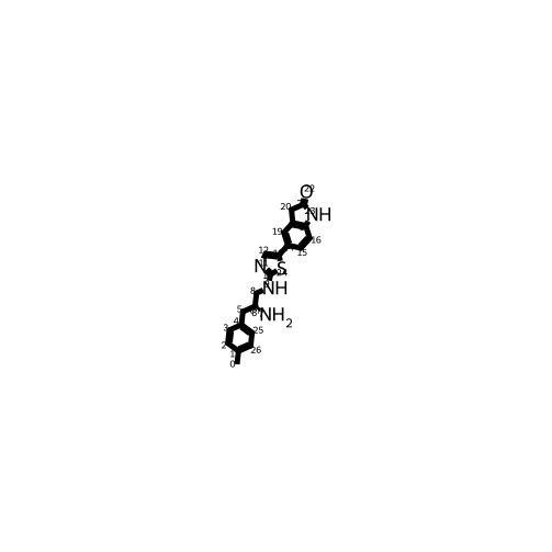 Cc1ccc(C[C@H](N)CNc2ncc(-c3ccc4c(c3)CC(=O)N4)s2)cc1